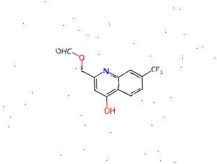 O=COCc1cc(O)c2ccc(C(F)(F)F)cc2n1